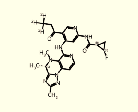 [2H]C([2H])([2H])CC(=O)c1cnc(NC(=O)[C@H]2C[C@H]2F)cc1Nc1nccc2c1N(C)[C@@H](C)c1nc(C)nn1-2